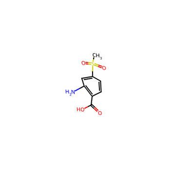 CS(=O)(=O)c1ccc(C(=O)O)c(N)c1